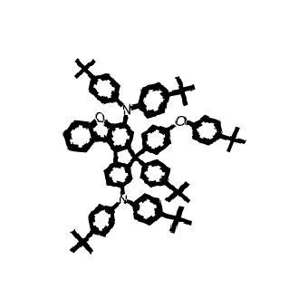 CC(C)(C)c1ccc(Oc2ccc(C3(c4ccc(C(C)(C)C)cc4)c4cc(N(c5ccc(C(C)(C)C)cc5)c5ccc(C(C)(C)C)cc5)ccc4-c4c3cc(N(c3ccc(C(C)(C)C)cc3)c3ccc(C(C)(C)C)cc3)c3oc5ccccc5c43)cc2)cc1